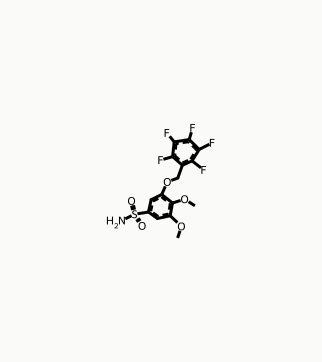 COc1cc(S(N)(=O)=O)cc(OCc2c(F)c(F)c(F)c(F)c2F)c1OC